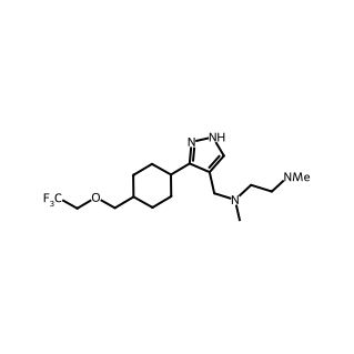 CNCCN(C)Cc1c[nH]nc1C1CCC(COCC(F)(F)F)CC1